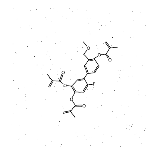 C=C(C)C(=O)Oc1ccc(-c2cc(OC(=O)C(=C)C)c(OC(=O)C(=C)C)cc2F)cc1COC